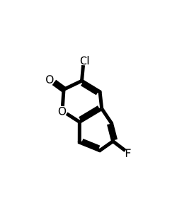 O=c1oc2ccc(F)cc2cc1Cl